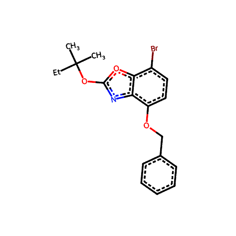 CCC(C)(C)Oc1nc2c(OCc3ccccc3)ccc(Br)c2o1